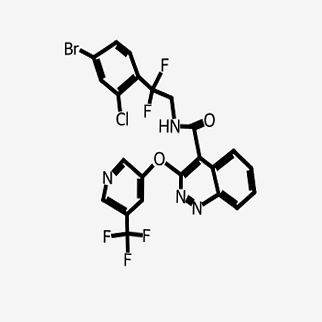 O=C(NCC(F)(F)c1ccc(Br)cc1Cl)c1c(Oc2cncc(C(F)(F)F)c2)nnc2ccccc12